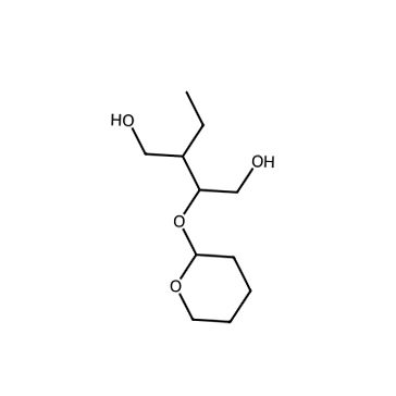 CCC(CO)C(CO)OC1CCCCO1